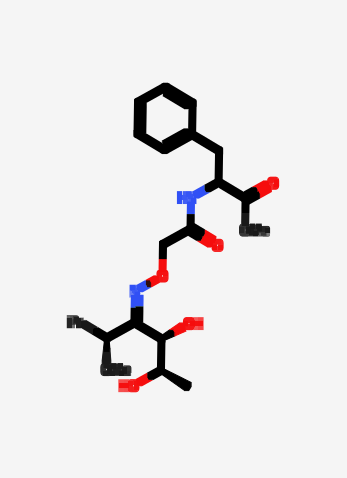 COC(=O)C(Cc1ccccc1)NC(=O)CO/N=C(/[C@@H](OC)C(C)C)[C@@H](O)[C@@H](C)O